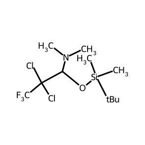 CN(C)C(O[Si](C)(C)C(C)(C)C)C(Cl)(Cl)C(F)(F)F